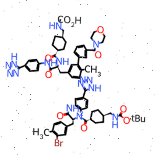 Cc1ccc(C[C@@H](C(N)=O)N(c2ccc(-c3nnn[nH]3)cc2)C(=O)[C@H]2CC[C@H](CNC(=O)OC(C)(C)C)CC2)cc1Br.Cc1ccc(C[C@H](NC(=O)[C@H]2CC[C@H](CNC(=O)O)CC2)C(=O)Nc2ccc(-c3nnn[nH]3)cc2)cc1-c1cccc(C(=O)N2CCOCC2)c1